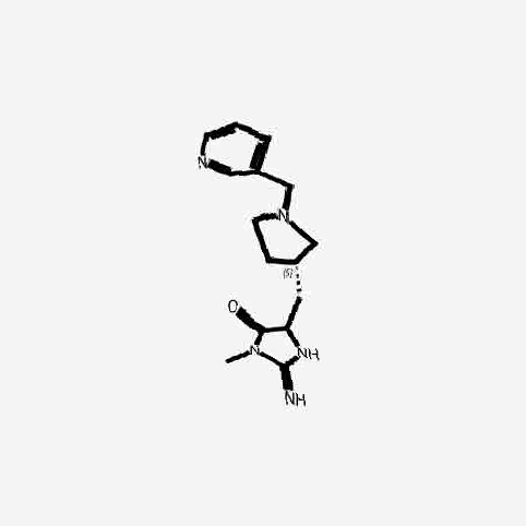 CN1C(=N)NC(C[C@@H]2CCN(Cc3cccnc3)C2)C1=O